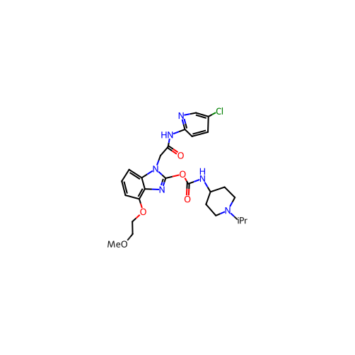 COCCOc1cccc2c1nc(OC(=O)NC1CCN(C(C)C)CC1)n2CC(=O)Nc1ccc(Cl)cn1